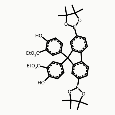 CCOC(=O)c1cc(C2(c3ccc(O)c(C(=O)OCC)c3)c3cc(B4OC(C)(C)C(C)(C)O4)ccc3-c3ccc(B4OC(C)(C)C(C)(C)O4)cc32)ccc1O